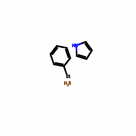 CCc1ccccc1.S.c1cc[nH]c1